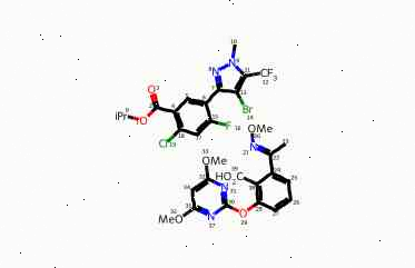 CC(C)OC(=O)c1cc(-c2nn(C)c(C(F)(F)F)c2Br)c(F)cc1Cl.CON=C(C)c1cccc(Oc2nc(OC)cc(OC)n2)c1C(=O)O